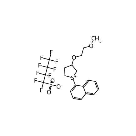 COCCOC1CC[S+](c2cccc3ccccc23)C1.O=S(=O)([O-])C(F)(F)C(F)(F)C(F)(F)C(F)(F)F